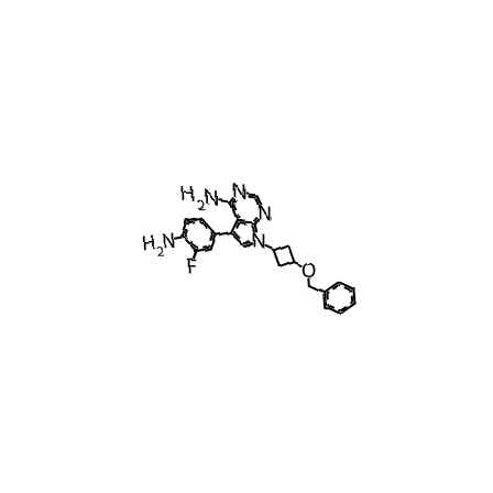 Nc1ccc(-c2cn(C3CC(OCc4ccccc4)C3)c3ncnc(N)c23)cc1F